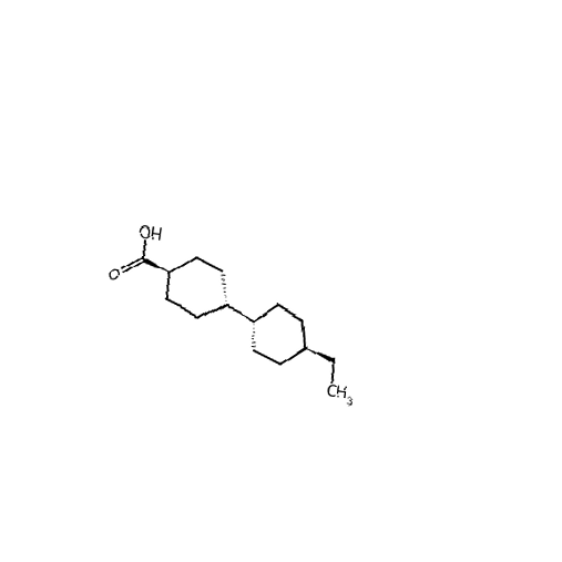 CC[C@H]1CC[C@H]([C@H]2CC[C@H](C(=O)O)CC2)CC1